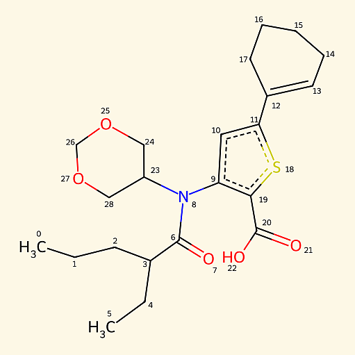 CCCC(CC)C(=O)N(c1cc(C2=CCCCC2)sc1C(=O)O)C1COCOC1